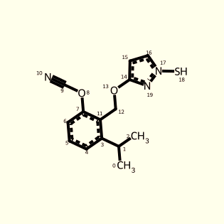 CC(C)c1cccc(OC#N)c1COc1ccn(S)n1